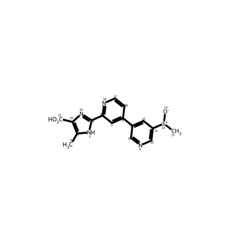 Cc1[nH]c(-c2cc(-c3cncc([S+](C)[O-])c3)ccn2)nc1C(=O)O